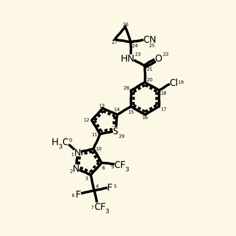 Cn1nc(C(F)(F)C(F)(F)F)c(C(F)(F)F)c1-c1ccc(-c2ccc(Cl)c(C(=O)NC3(C#N)CC3)c2)s1